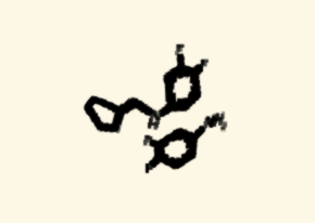 Fc1ccc(NCC2CCCC2)cc1F.Nc1ccc(F)c(F)c1